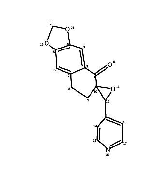 O=C1c2cc3c(cc2CCC12OC2c1ccncc1)OCO3